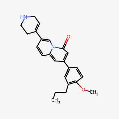 CCCc1cc(-c2cc(=O)n3cc(C4=CCNCC4)ccc3c2)ccc1OC